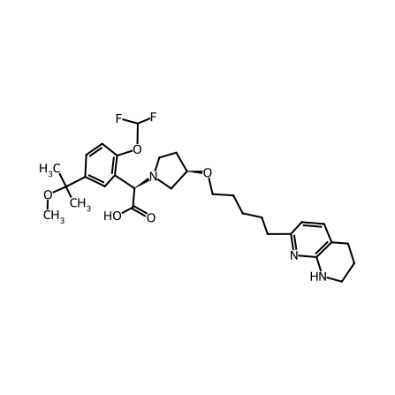 COC(C)(C)c1ccc(OC(F)F)c([C@H](C(=O)O)N2CC[C@@H](OCCCCCc3ccc4c(n3)NCCC4)C2)c1